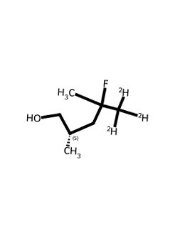 [2H]C([2H])([2H])C(C)(F)C[C@H](C)CO